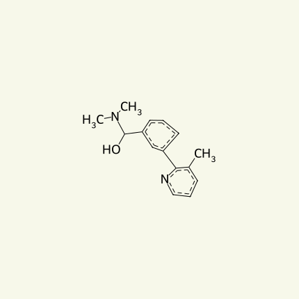 Cc1cccnc1-c1cccc(C(O)N(C)C)c1